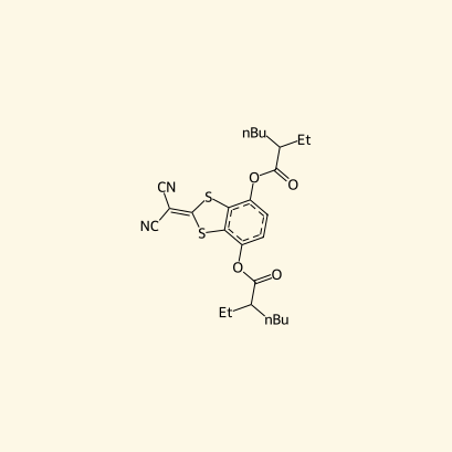 CCCCC(CC)C(=O)Oc1ccc(OC(=O)C(CC)CCCC)c2c1SC(=C(C#N)C#N)S2